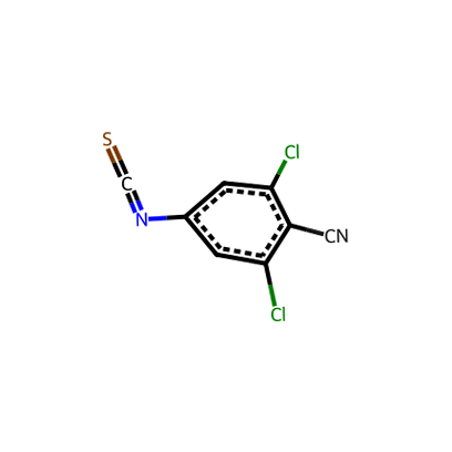 N#Cc1c(Cl)cc(N=C=S)cc1Cl